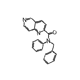 O=C(c1ccc2cnccc2n1)N(Cc1ccccc1)c1ccccc1